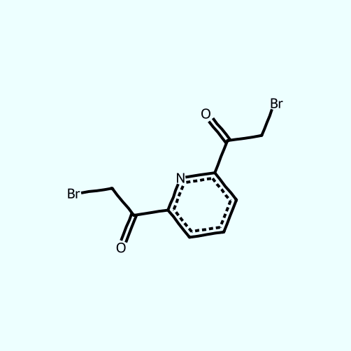 O=C(CBr)c1cccc(C(=O)CBr)n1